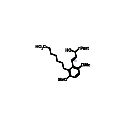 CCCCCC(O)/C=C/c1c(OC)ccc(OC)c1CCCCCCC(=O)O